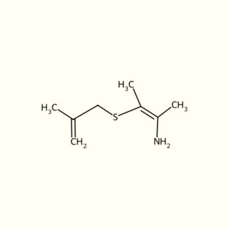 C=C(C)CS/C(C)=C(/C)N